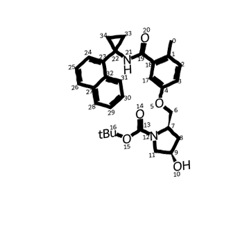 Cc1ccc(OC[C@H]2C[C@@H](O)CN2C(=O)OC(C)(C)C)cc1C(=O)NC1(c2cccc3ccccc23)CC1